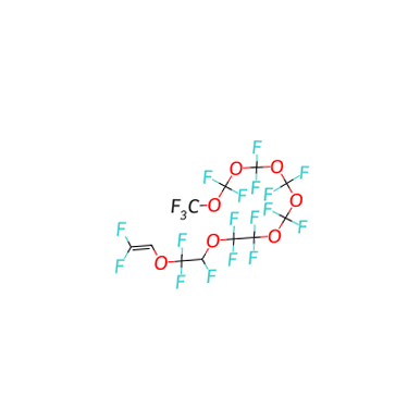 FC(F)=COC(F)(F)C(F)OC(F)(F)C(F)(F)OC(F)(F)OC(F)(F)OC(F)(F)OC(F)(F)OC(F)(F)F